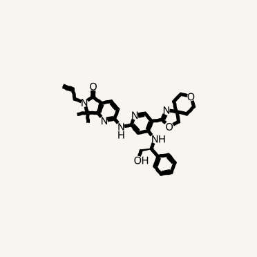 C=CCN1C(=O)c2ccc(Nc3cc(N[C@H](CO)c4ccccc4)c(C4=NC5(CCOCC5)CO4)cn3)nc2C1(C)C